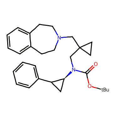 CC(C)(C)OC(=O)N(CC1(CN2CCc3ccccc3CC2)CC1)[C@H]1CC1c1ccccc1